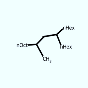 CCCCCCCCC(C)[CH]C(CCCCCC)CCCCCC